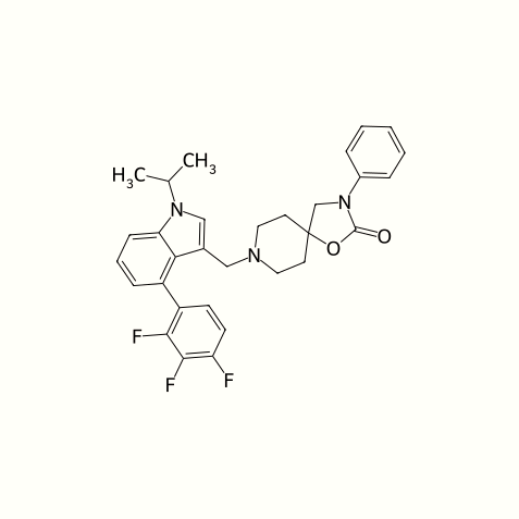 CC(C)n1cc(CN2CCC3(CC2)CN(c2ccccc2)C(=O)O3)c2c(-c3ccc(F)c(F)c3F)cccc21